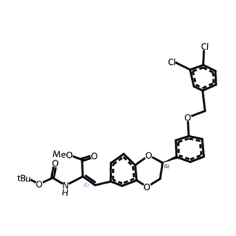 COC(=O)/C(=C\c1ccc2c(c1)OC[C@H](c1cccc(OCc3ccc(Cl)c(Cl)c3)c1)O2)NC(=O)OC(C)(C)C